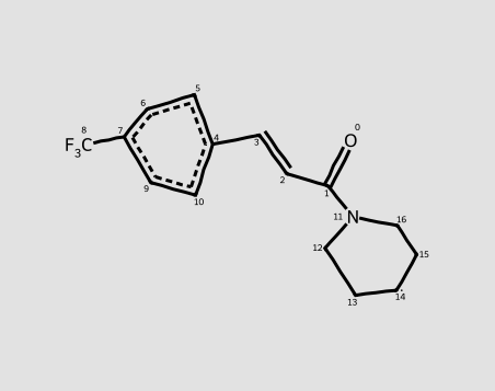 O=C(C=Cc1ccc(C(F)(F)F)cc1)N1CC[CH]CC1